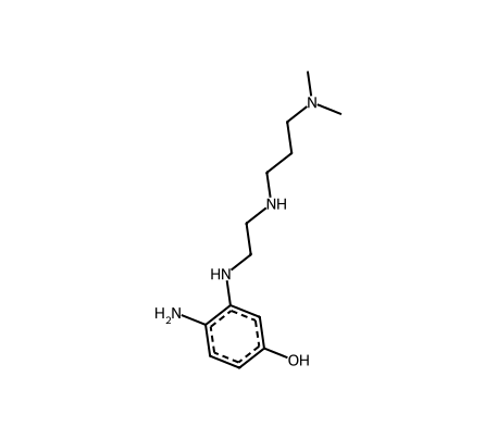 CN(C)CCCNCCNc1cc(O)ccc1N